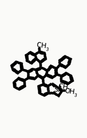 Cc1ccc(-c2c3cc(-c4ccccc4)c(-c4ccccc4)cc3c(-c3cccc4c3C3C5(C)CC4[Si]35C)c3cc(-c4ccccc4)c(-c4ccccc4)cc23)c2ccccc12